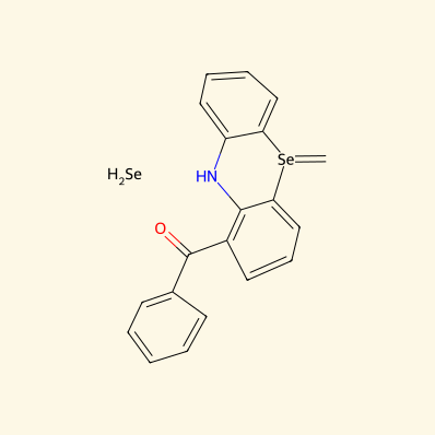 C=[Se]1c2ccccc2Nc2c(C(=O)c3ccccc3)cccc21.[SeH2]